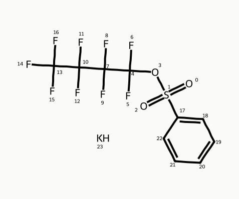 O=S(=O)(OC(F)(F)C(F)(F)C(F)(F)C(F)(F)F)c1ccccc1.[KH]